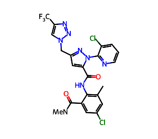 CNC(=O)c1cc(Cl)cc(C)c1NC(=O)c1cc(Cn2cc(C(F)(F)F)nn2)nn1-c1ncccc1Cl